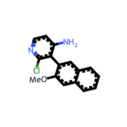 COc1cc2ccccc2cc1-c1c(N)ccnc1Cl